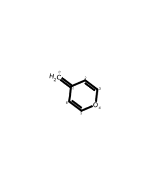 C=C1C=COC=C1